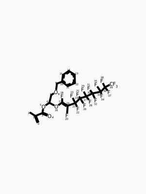 C=C(C)C(=O)OC(COCc1ccccc1)OC(F)=C(F)C(F)(F)C(F)(F)C(F)(F)C(F)(F)C(F)(F)C(F)(F)C(F)(F)F